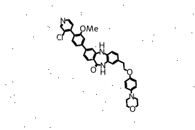 COc1cc(-c2ccc3c(c2)Nc2ccc(CCOc4ccc(N5CCOCC5)cc4)cc2NC3=O)ccc1-c1ccncc1Cl